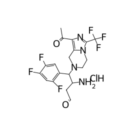 CC(=O)c1nc(C(F)(F)F)n2c1CN(C(c1cc(F)c(F)cc1F)C(N)CC=O)CC2.Cl